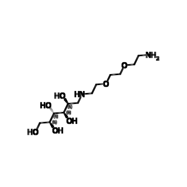 NCCOCCOCCNC[C@H](O)[C@@H](O)[C@@H](O)[C@@H](O)CO